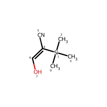 C[Si](C)(C)C(C#N)=CO